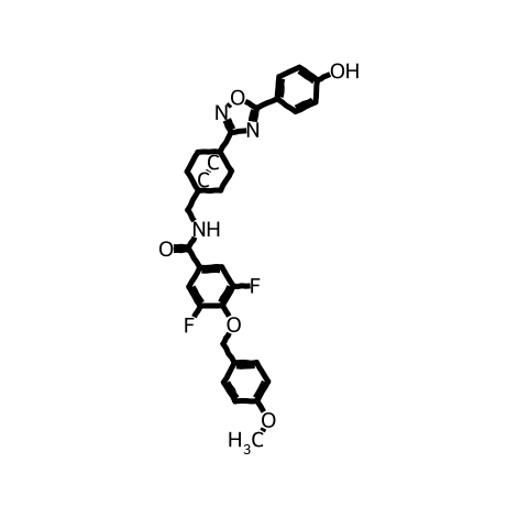 COc1ccc(COc2c(F)cc(C(=O)NCC34CCC(c5noc(-c6ccc(O)cc6)n5)(CC3)CC4)cc2F)cc1